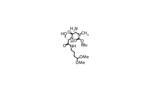 COC(CCCNC(=O)[C@H](CO)NC(=O)[C@H](N)N(C)C(=O)OC(C)(C)C)OC